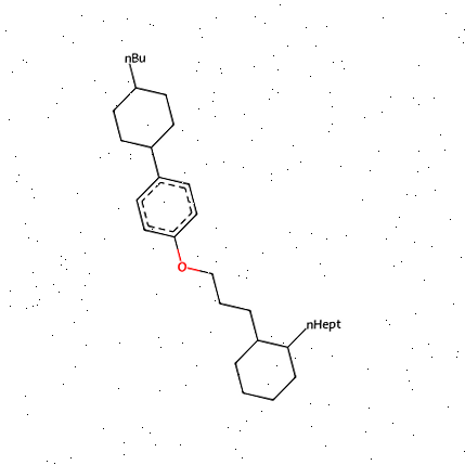 CCCCCCCC1CCCCC1CCCOc1ccc(C2CCC(CCCC)CC2)cc1